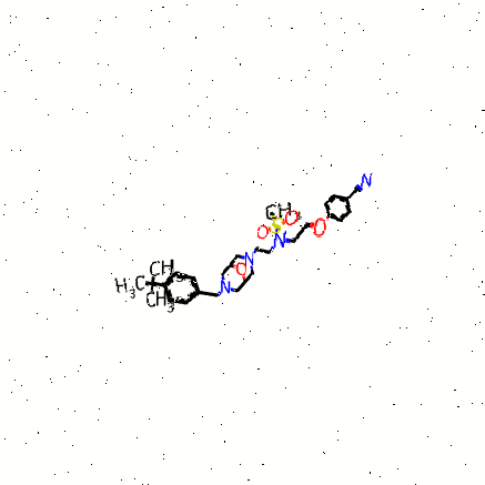 CC(C)(C)c1ccc(CN2CC3CN(CCN(CCOc4ccc(C#N)cc4)S(C)(=O)=O)CC(C2)O3)cc1